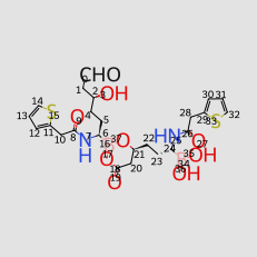 O=CC[C@@H](O)CC[C@H](NC(=O)Cc1cccs1)B1OC(=O)C[C@H](CC[C@H](NC(=O)Cc2cccs2)B(O)O)O1